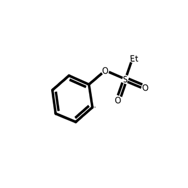 CCS(=O)(=O)Oc1[c]cccc1